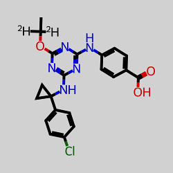 [2H]C([2H])(C)Oc1nc(Nc2ccc(C(=O)O)cc2)nc(NC2(c3ccc(Cl)cc3)CC2)n1